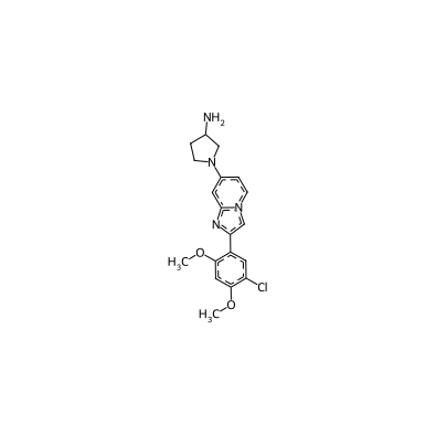 COc1cc(OC)c(-c2cn3ccc(N4CCC(N)C4)cc3n2)cc1Cl